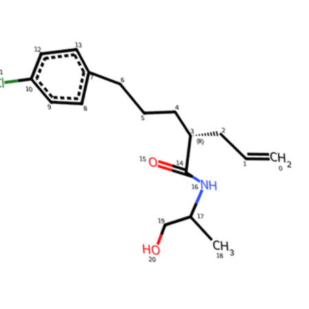 C=CC[C@@H](CCCc1ccc(Cl)cc1)C(=O)NC(C)CO